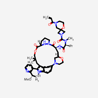 C=CC(=O)N1CCOC2(C1)CN(C(=O)N(C)[C@H](C(=O)N[C@H]1C[C@H]3CN(CCO3)c3ccc4c(c3)c(c(-c3cccnc3[C@H](C)OC)n4CC)CC(C)(C)COC(=O)[C@@H]3CCCN(N3)C1=O)C(C)C)C2